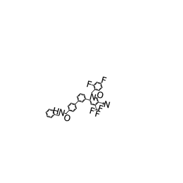 N#Cc1c(C(F)(F)F)cc(-c2cccc(-c3ccc(C(=O)NCc4ccccc4)cc3)c2)n(Cc2ccc(F)cc2F)c1=O